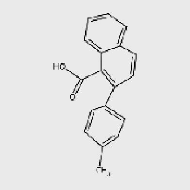 Cc1ccc(-c2ccc3ccccc3c2C(=O)O)cc1